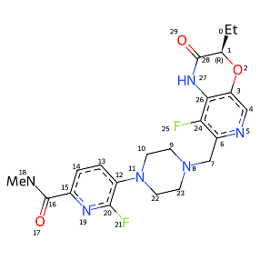 CC[C@H]1Oc2cnc(CN3CCN(c4ccc(C(=O)NC)nc4F)CC3)c(F)c2NC1=O